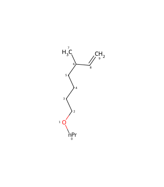 [CH2]CCOCCCCC(C)C=C